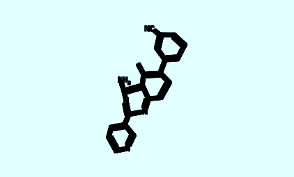 Cc1c(-c2cccc(C#N)c2)ccc2nc(-c3cccnc3)nc(N)c12